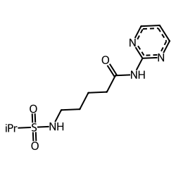 CC(C)S(=O)(=O)NCCCCC(=O)Nc1ncccn1